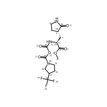 COC(=O)[C@H](C[C@@H]1CCNC1=O)NC(=O)OC(=O)N1CCC(C(F)(F)F)C1